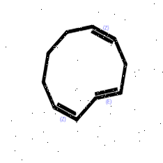 [C]1=C\CCC/C=C\C/C=C/1